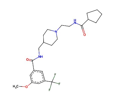 COc1cc(C(=O)NCC2CCN(CCNC(=O)C3CCCC3)CC2)cc(C(F)(F)F)c1